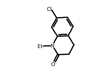 CCN1C(=O)CCc2ccc(Cl)cc21